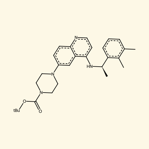 Cc1cccc([C@@H](C)Nc2ccnc3ccc(N4CCN(C(=O)OC(C)(C)C)CC4)cc23)c1C